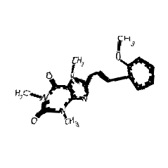 COc1ccccc1/C=C/c1nc2c(c(=O)n(C)c(=O)n2C)n1C